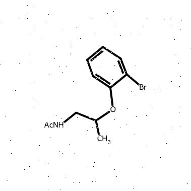 CC(=O)NCC(C)Oc1ccccc1Br